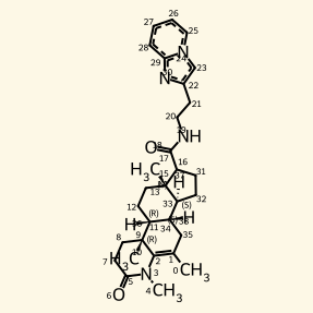 CC1=C2N(C)C(=O)CC[C@]2(C)[C@@H]2CC[C@]3(C)C(C(=O)NCCc4cn5ccccc5n4)CC[C@H]3[C@@H]2C1